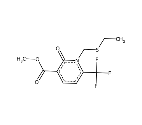 CCSCn1c(C(F)(F)F)ccc(C(=O)OC)c1=O